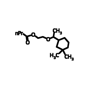 CCCC(=O)OCCOC(C)C1CCCC(C)(C)C1